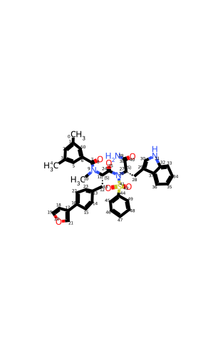 Cc1cc(C)cc(C(=O)N(C)[C@@H](Cc2ccc(-c3ccoc3)cc2)C(=O)N([C@@H](Cc2c[nH]c3ccccc23)C(N)=O)S(=O)(=O)c2ccccc2)c1